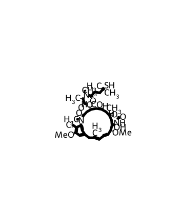 COc1cc2cc(c1Cl)N(C)C(=O)C[C@H](OC(=O)[C@H](C)N(C)C(=O)CCC(C)(C)S)[C@]1(C)O[C@@H]1[C@@H](C)[C@@H]1C[C@@](O)(NC(=O)O1)[C@H](OC)/C=C/C=C(\C)C2